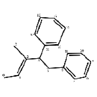 CC=C(C)C([CH]c1ccccc1)c1ccccc1